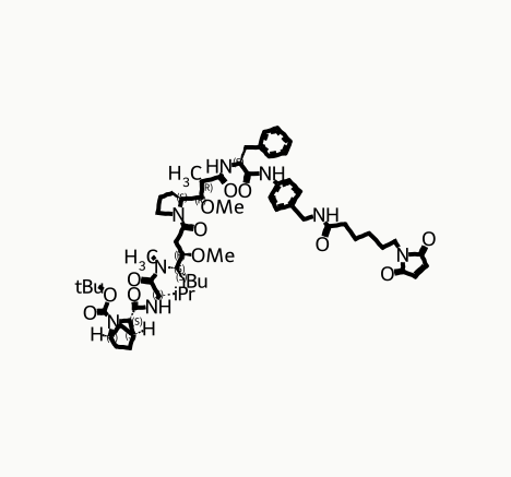 CC[C@H](C)[C@@H]([C@@H](CC(=O)N1CCC[C@H]1[C@H](OC)[C@@H](C)C(=O)N[C@@H](Cc1ccccc1)C(=O)Nc1ccc(CNC(=O)CCCCCN2C(=O)C=CC2=O)cc1)OC)N(C)C(=O)[C@@H](NC(=O)[C@@H]1[C@H]2CC[C@H](C2)N1C(=O)OC(C)(C)C)C(C)C